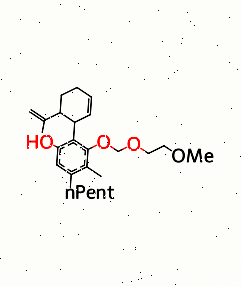 C=C(C)C1CCC=CC1c1c(O)cc(CCCCC)c(C)c1OCOCCOC